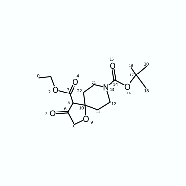 CCOC(=O)C1C(=O)COC12CCN(C(=O)OC(C)(C)C)CC2